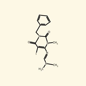 CN(C)C=Nc1c(I)c(=O)n(Cc2ccccc2)c(=O)n1C